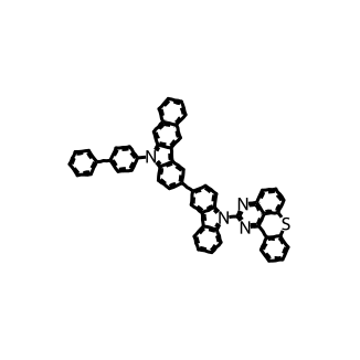 c1ccc(-c2ccc(-n3c4ccc(-c5ccc6c(c5)c5ccccc5n6-c5nc6c7c(cccc7n5)Sc5ccccc5-6)cc4c4cc5ccccc5cc43)cc2)cc1